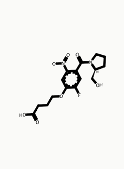 O=C(O)CCCOc1cc([N+](=O)[O-])c(C(=O)N2CCC[C@H]2CO)cc1F